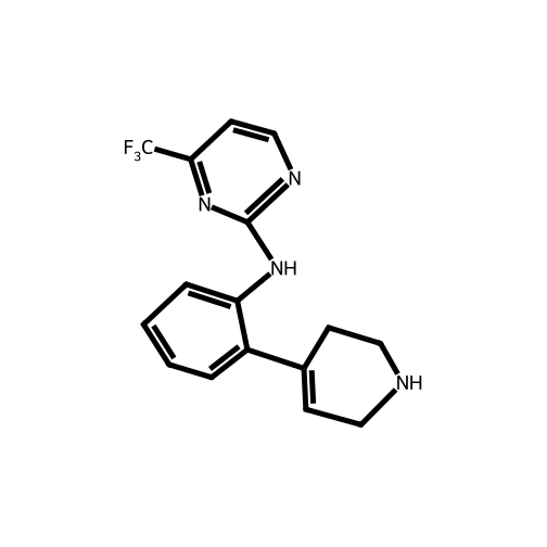 FC(F)(F)c1ccnc(Nc2ccccc2C2=CCNCC2)n1